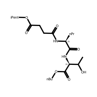 CCCCOC(=O)[C@@H](NC(=O)[C@H](CCC)NC(=O)CCC(=O)OC(C)CCC)C(C)O